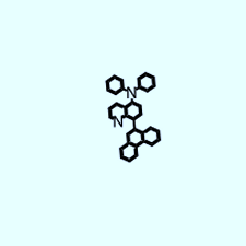 c1ccc(N(c2ccccc2)c2ccc(-c3cc4ccccc4c4ccccc34)c3ncccc23)cc1